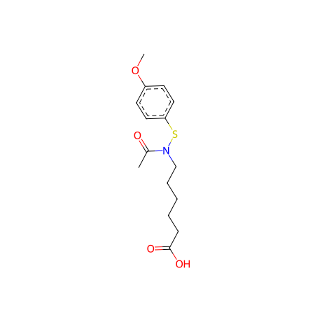 COc1ccc(SN(CCCCCC(=O)O)C(C)=O)cc1